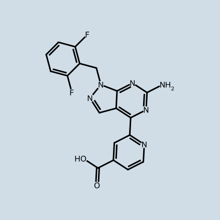 Nc1nc(-c2cc(C(=O)O)ccn2)c2cnn(Cc3c(F)cccc3F)c2n1